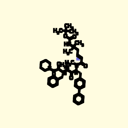 CN(C(=O)/C=C/CC(C)(C)NC(=O)OC(C)(C)C)[C@H](Cc1ccc(-c2ccccc2)cc1)C(=O)N(C)[C@H](Cc1ccccc1)C(=O)NN1CCCCC1